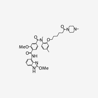 COc1nc2c(NC(=O)c3ccc(C(=O)N(C)c4ccc(C)cc4OCCCCCC(=O)N4CCN(C)CC4)cc3OC)cccc2[nH]1